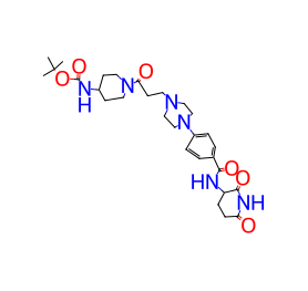 CC(C)(C)OC(=O)NC1CCN(C(=O)CCN2CCN(c3ccc(C(=O)NC4CCC(=O)NC4=O)cc3)CC2)CC1